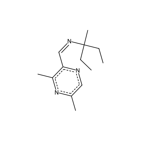 CCC(C)(CC)/N=C\c1ncc(C)nc1C